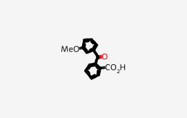 COc1cccc(C(=O)c2ccccc2C(=O)O)c1